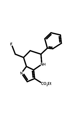 CCOC(=O)C1=C2NC(c3ccccc3)CC(CF)C2N=C1